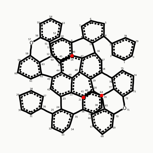 c1ccc(-c2cccc(-c3ccccc3)c2-c2cc3c4c(cc5c(-c6c(-c7ccccc7)cccc6-c6ccccc6)cc6c7c(cc2c4c57)B2c4ccccc4Oc4cccc-6c42)B2c4ccccc4Oc4cccc-3c42)cc1